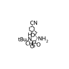 CC(Nc1c(C(N)c2cc3cc(C#N)ccc3o2)c(=O)c1=O)C(C)(C)C